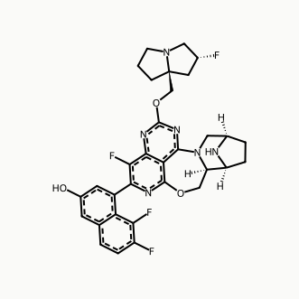 Oc1cc(-c2nc3c4c(nc(OC[C@@]56CCCN5C[C@H](F)C6)nc4c2F)N2C[C@H]4CC[C@H](N4)[C@H]2CO3)c2c(F)c(F)ccc2c1